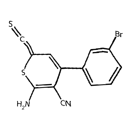 N#CC1=C(N)SC(=C=S)C=C1c1cccc(Br)c1